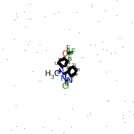 CN(c1ccc(OC(F)(F)F)cc1)c1nc(Cl)nc2ccccc12